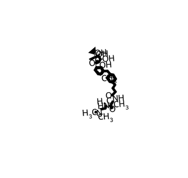 Cc1ccc([C@]23OC[C@](C4(O)CC4)(O2)[C@@H](O)[C@H](O)[C@H]3O)cc1Cc1ccc(CCCC(=O)NC(C)(C)C(=O)NCCN(C)C)cc1